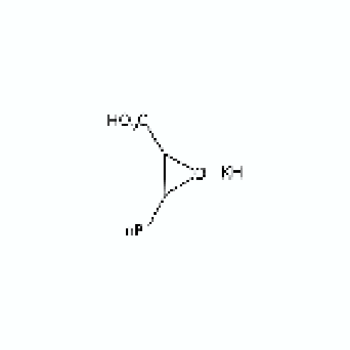 CCCC1OC1C(=O)O.[KH]